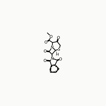 COC(=O)C1C(=O)CS[C@H]2C(N3C(=O)c4ccccc4C3=O)C(=O)N12